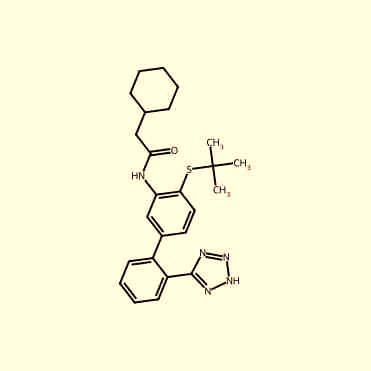 CC(C)(C)Sc1ccc(-c2ccccc2-c2nn[nH]n2)cc1NC(=O)CC1CCCCC1